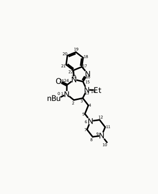 CCCCN1CC(CCN2CCN(C)CC2)N(CC)c2nc3ccccc3n2C1=O